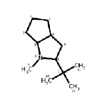 CN1C2CCCC2CC1C(C)(C)C